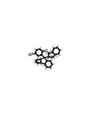 Brc1ccc2c(c1)C1(c3ccccc3-c3ccccc31)c1ccc3ccccc3c1O2